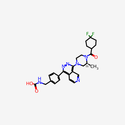 C[C@H]1CN(c2nnc(-c3ccc(CNC(=O)O)cc3)c3ccncc23)CCN1C(=O)C1CCC(F)(F)CC1